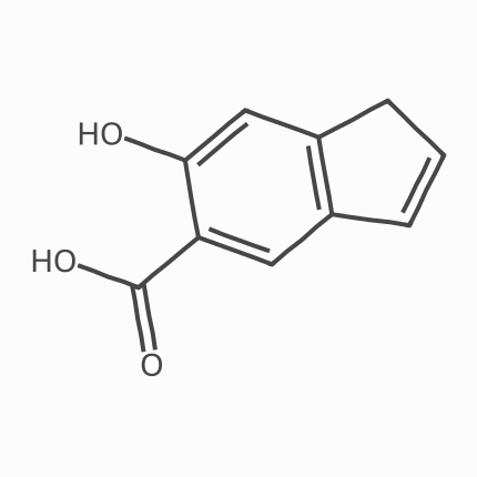 O=C(O)c1cc2c(cc1O)CC=C2